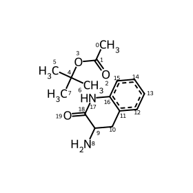 CC(=O)OC(C)(C)C.NC1Cc2ccccc2NC1=O